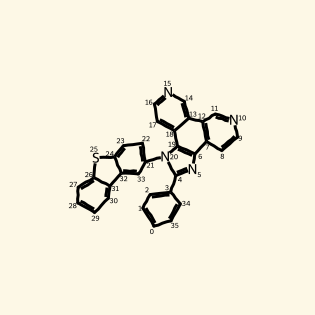 c1ccc(-c2nc3c4ccncc4c4cnccc4c3n2-c2ccc3sc4ccccc4c3c2)cc1